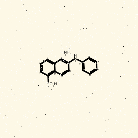 N.O=S(=O)(O)c1cccc2cc(Nc3ccccc3)ccc12